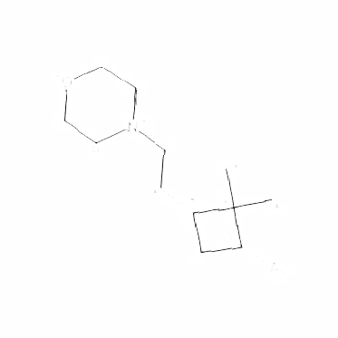 CC(=O)[C@@H]1C[C@H](CCN2CCOCC2)C1(C)C